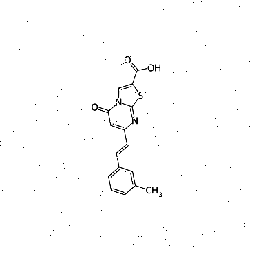 Cc1cccc(/C=C/c2cc(=O)n3cc(C(=O)O)sc3n2)c1